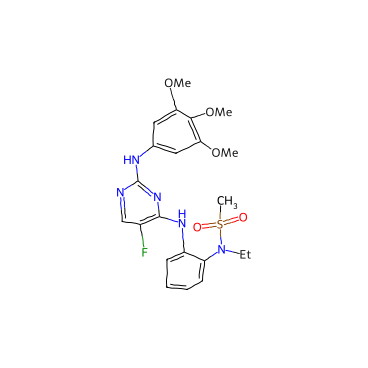 CCN(c1ccccc1Nc1nc(Nc2cc(OC)c(OC)c(OC)c2)ncc1F)S(C)(=O)=O